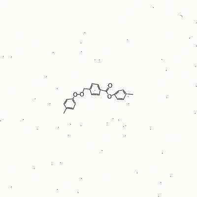 Cc1ccc(OOCc2ccc(C(=O)Oc3ccc(C)cc3)cc2)cc1